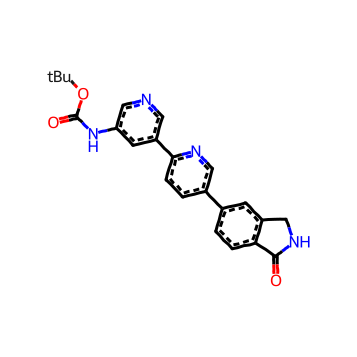 CC(C)(C)OC(=O)Nc1cncc(-c2ccc(-c3ccc4c(c3)CNC4=O)cn2)c1